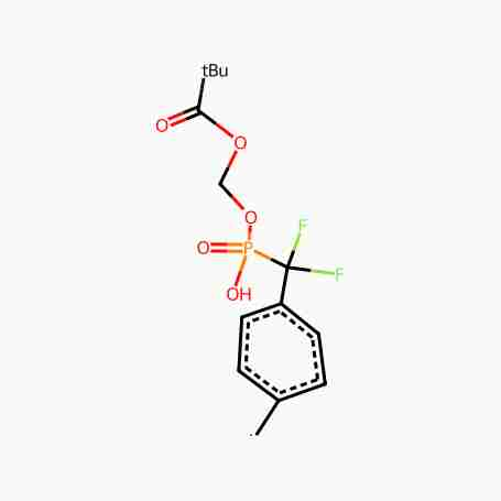 [CH2]c1ccc(C(F)(F)P(=O)(O)OCOC(=O)C(C)(C)C)cc1